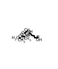 C[C@H](NC(=O)CCCCC(=O)O)C(=O)N[C@@H](C)C(=O)OC(C)(C)C